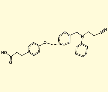 N#CCCN(Cc1ccc(COc2ccc(CCC(=O)O)cc2)cc1)c1ccccc1